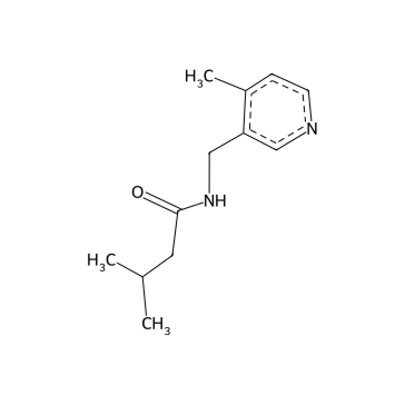 Cc1ccncc1CNC(=O)CC(C)C